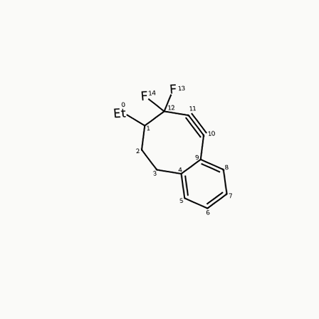 CCC1CCc2ccccc2C#CC1(F)F